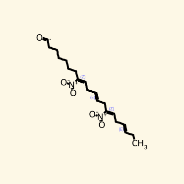 CC/C=C/C/C=C(/C/C=C/C/C=C(/CCCCCC[C]=O)[N+](=O)[O-])[N+](=O)[O-]